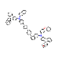 c1ccc2c(c1)-c1cc(N(c3ccc4c(-c5ccc(-c6ccc(-c7ccc(N(c8ccc9c(c8)-c8ccccc8C98C9CC%10CC%11CC8C%11(C%10)C9)c8ccc9ccccc9c8)cc7)cc6)cc5)cccc4c3)c3ccc4oc5ccccc5c4c3)ccc1C21C2CC3CC(C2)CC1C3